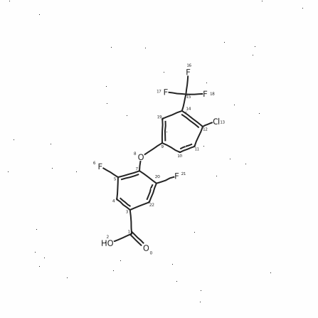 O=C(O)c1cc(F)c(Oc2ccc(Cl)c(C(F)(F)F)c2)c(F)c1